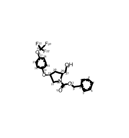 O=C(OCc1ccccc1)N1C[C@@H](Oc2ccc(OC(F)(F)F)cc2)C[C@H]1CO